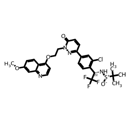 COc1ccc2c(OCCn3nc(-c4ccc([C@H](N[S+]([O-])C(C)(C)C)C(F)(F)F)c(Cl)c4)ccc3=O)ccnc2c1